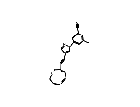 N#Cc1cc(F)cc(-n2cc(C#C/C3=N/C=C\C=C/CCC3)cn2)c1